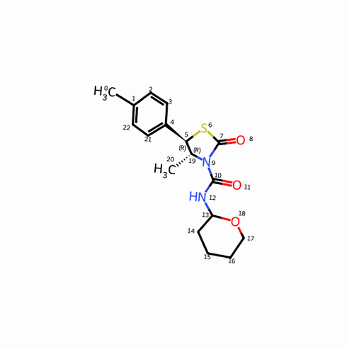 Cc1ccc([C@H]2SC(=O)N(C(=O)NC3CCCCO3)[C@@H]2C)cc1